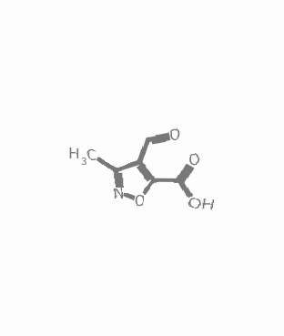 Cc1noc(C(=O)O)c1C=O